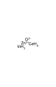 [GeH4].[InH3].[O-2].[Zn+2]